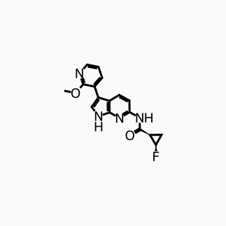 COc1ncccc1-c1c[nH]c2nc(NC(=O)[C@H]3C[C@H]3F)ccc12